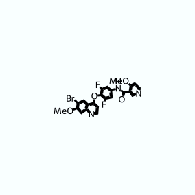 COc1cc2nccc(Oc3c(F)cc(NC(=O)c4cnccc4OC)cc3F)c2cc1Br